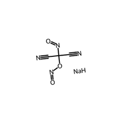 N#CC(C#N)(N=O)ON=O.[NaH]